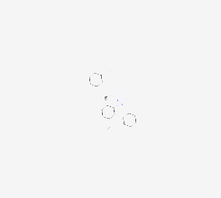 C=Cc1ccc([C@H](C)Cc2cc(Br)ccc2C)c(NC(C)c2ccccc2)c1